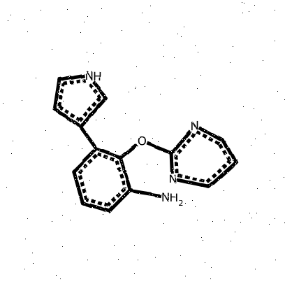 Nc1cccc(-c2cc[nH]c2)c1Oc1ncccn1